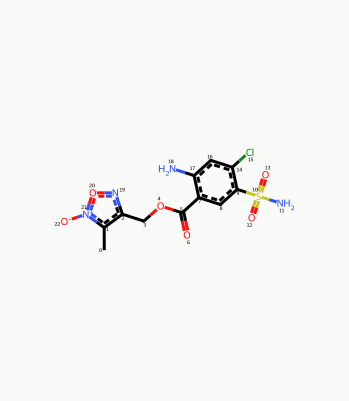 Cc1c(COC(=O)c2cc(S(N)(=O)=O)c(Cl)cc2N)no[n+]1[O-]